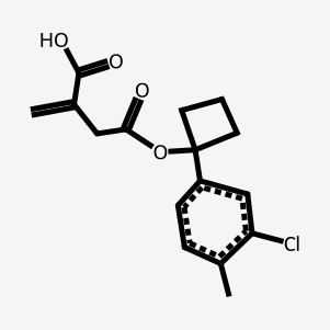 C=C(CC(=O)OC1(c2ccc(C)c(Cl)c2)CCC1)C(=O)O